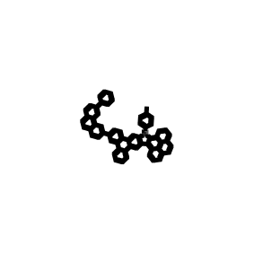 Cc1ccc(-n2c3cc4c5ccc(-c6ccc7ccc8ccc(-c9ccccc9)cc8c7c6)cc5c5ccccc5c4cc3c3c4cccc5ccc6cccc(c6c54)c32)cc1